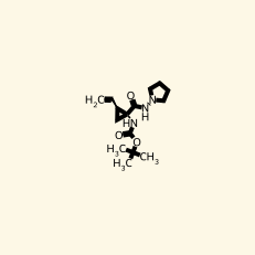 C=C[C@@H]1C[C@]1(NC(=O)OC(C)(C)C)C(=O)NN1CCCC1